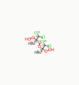 CCCCC(OO)(OOC(CCCC)(OO)C(Cl)Cl)C(Cl)Cl